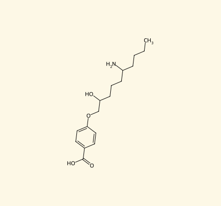 CCCCC(N)CCCC(O)COc1ccc(C(=O)O)cc1